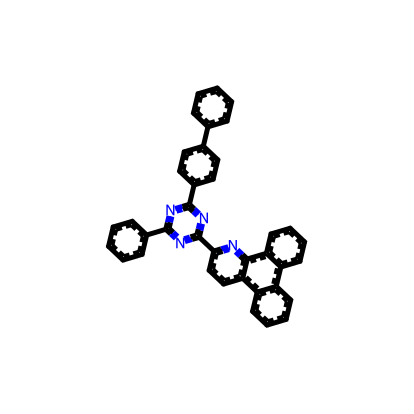 c1ccc(-c2ccc(-c3nc(-c4ccccc4)nc(-c4ccc5c6ccccc6c6ccccc6c5n4)n3)cc2)cc1